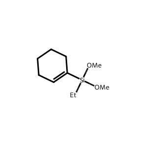 CC[Si](OC)(OC)C1=CCCCC1